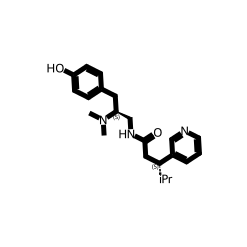 CC(C)[C@H](CC(=O)NC[C@H](Cc1ccc(O)cc1)N(C)C)c1cccnc1